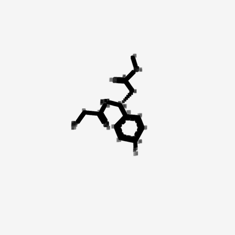 COC(=O)C[C@@H](NC(=O)CBr)c1ccc(F)cc1